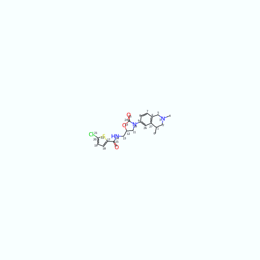 CC1CN(C)Cc2ccc(N3CC(CNC(=O)c4ccc(Cl)s4)OC3=O)cc21